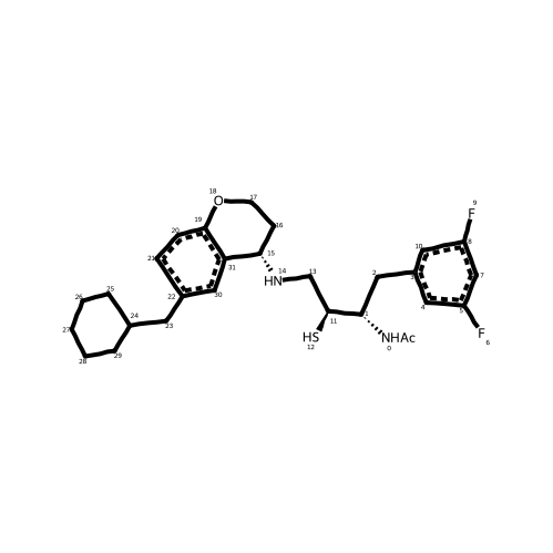 CC(=O)N[C@@H](Cc1cc(F)cc(F)c1)[C@@H](S)CN[C@H]1CCOc2ccc(CC3CCCCC3)cc21